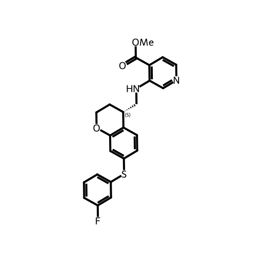 COC(=O)c1ccncc1NC[C@H]1CCOc2cc(Sc3cccc(F)c3)ccc21